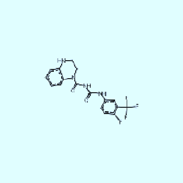 O=C(NC(=O)N1CCNc2c[c]ccc21)Nc1ccc(F)c(C(F)(F)F)c1